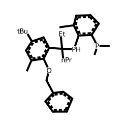 CCCC(CC)(Pc1c(C)cccc1P(C)C)c1cc(C(C)(C)C)cc(C)c1OCc1ccccc1